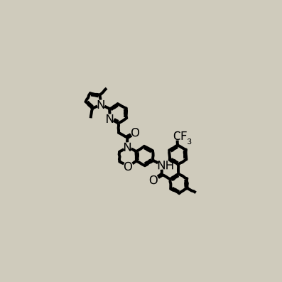 Cc1ccc(C(=O)Nc2ccc3c(c2)OCCN3C(=O)Cc2cccc(-n3c(C)ccc3C)n2)c(-c2ccc(C(F)(F)F)cc2)c1